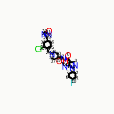 O=c1c2cnn(-c3ccc(F)cc3)c2ncn1CC1(O)CCN(Cc2ccc(-c3ncon3)cc2Cl)CC1